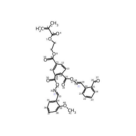 C=C(C)C(=O)OCCOC(=O)c1ccc(C(=O)O/N=C/c2ccccc2C=O)c(C(=O)O/N=C/c2ccccc2OC)c1